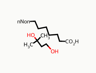 CC(C)(O)CCO.CCCCCCCCCCCCCCCC(=O)O